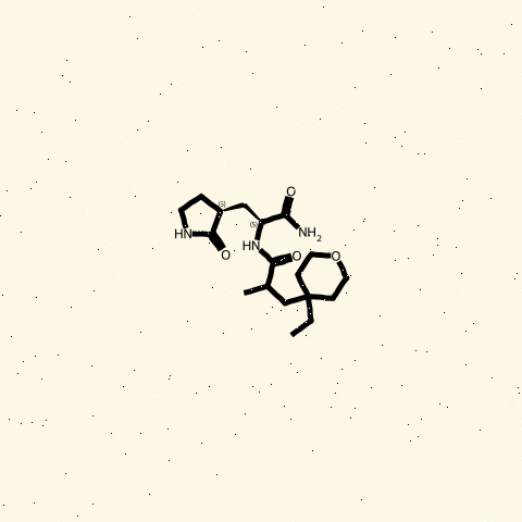 CCC1(CC(C)C(=O)N[C@@H](C[C@@H]2CCNC2=O)C(N)=O)CCOCC1